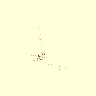 COCCOCCOCCOCCOC(=O)NC(Cc1ccccc1)C(O)CC(Cc1ccc(OCCOCCOCCOCCOC)cc1)C(=O)N[C@H]1c2ccccc2C[C@@H]1O